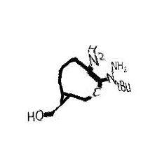 CC(C)(C)N(N)/C1=C(\N)CCCC2C(CC1)[C@H]2CO